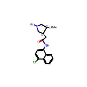 CO[C@@H]1CN(C(C)C)C[C@@H]1CC(=O)Nc1ccc(Cl)c2ccccc12